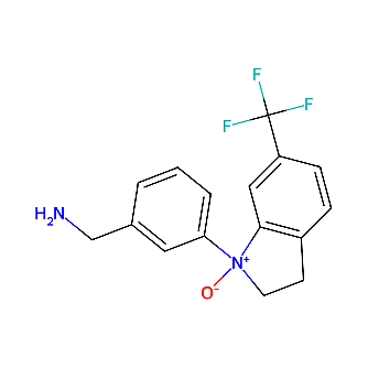 NCc1cccc([N+]2([O-])CCc3ccc(C(F)(F)F)cc32)c1